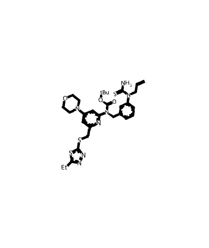 C=CCN(C(N)=S)c1cccc(CN(C(=O)OC(C)(C)C)c2cc(N3CCOCC3)cc(CSc3nnc(CC)s3)n2)c1